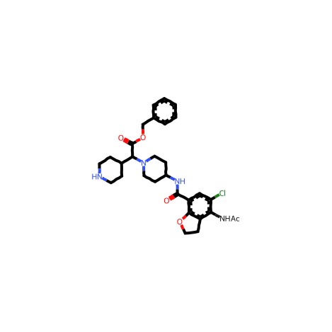 CC(=O)Nc1c(Cl)cc(C(=O)NC2CCN(C(C(=O)OCc3ccccc3)C3CCNCC3)CC2)c2c1CCO2